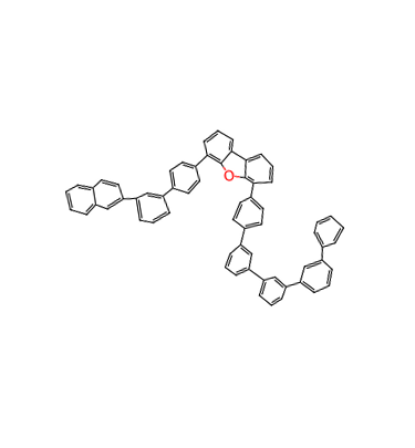 c1ccc(-c2cccc(-c3cccc(-c4cccc(-c5ccc(-c6cccc7c6oc6c(-c8ccc(-c9cccc(-c%10ccc%11ccccc%11c%10)c9)cc8)cccc67)cc5)c4)c3)c2)cc1